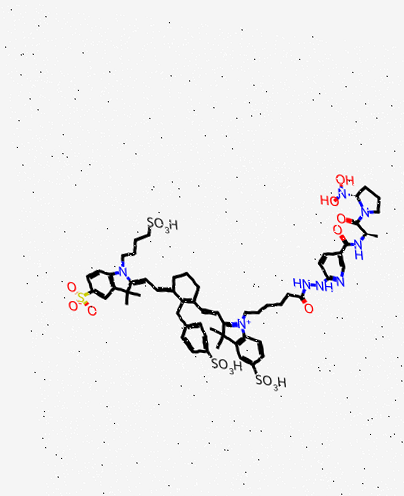 C[C@@H](NC(=O)c1ccc(NNC(=O)CCCCC[N+]2=C(/C=C/C3=C(Cc4ccc(S(=O)(=O)O)cc4)C(=C/C=C4/N(CCCCS(=O)(=O)O)c5ccc(S(=O)(=O)[O-])cc5C4(C)C)/CCC3)C(C)(C)c3cc(S(=O)(=O)O)ccc32)nc1)C(=O)N1CCC[C@H]1N(O)O